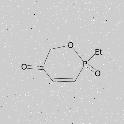 CCP1(=O)C=CC(=O)CO1